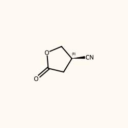 N#C[C@@H]1COC(=O)C1